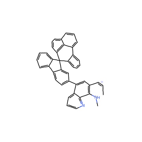 C/C=C\c1cc(-c2ccc3c(c2)C2(c4ccccc4-3)c3ccccc3-c3cccc4cccc2c34)c2cccnc2c1NC